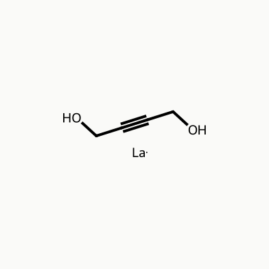 OCC#CCO.[La]